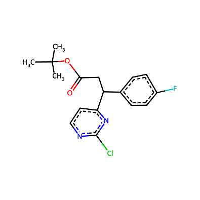 CC(C)(C)OC(=O)CC(c1ccc(F)cc1)c1ccnc(Cl)n1